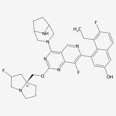 CCc1c(F)ccc2cc(O)cc(-c3ncc4c(N5CC6CCC(C5)N6)nc(OC[C@@]56CCCN5CC(F)C6)nc4c3F)c12